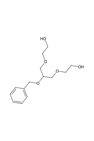 OCCOCC(COCCO)OCc1ccccc1